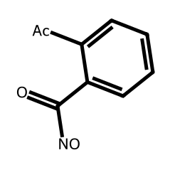 CC(=O)c1ccccc1C(=O)N=O